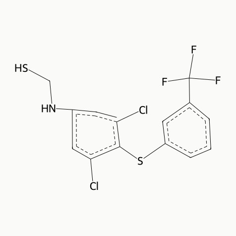 FC(F)(F)c1cccc(Sc2c(Cl)cc(NCS)cc2Cl)c1